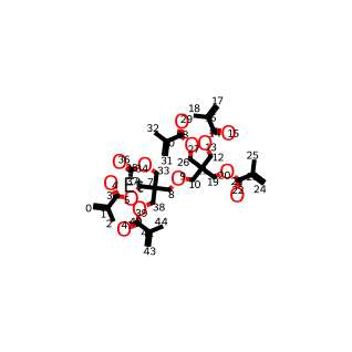 C=C(C)C(=O)OCC(COCC(COC(=O)C(=C)C)(COC(=O)C(=C)C)COC(=O)C(=C)C)(COC(=O)CC)COC(=O)C(=C)C